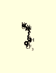 Cc1ncoc1-c1nnc(SCCCN2C[C@H]3CC3(c3cccc(C(F)(F)F)n3)C2)n1C